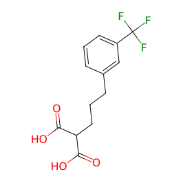 O=C(O)C(CCCc1cccc(C(F)(F)F)c1)C(=O)O